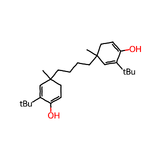 CC1(CCCCC2(C)C=C(C(C)(C)C)C(O)=CC2)C=C(C(C)(C)C)C(O)=CC1